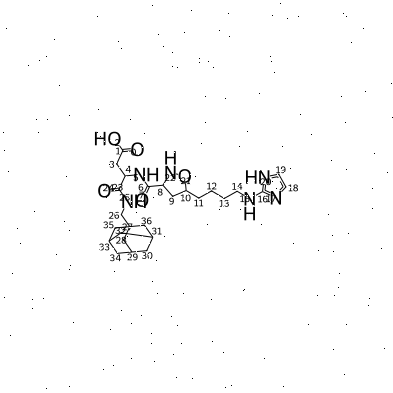 O=C(O)CC(NC(=O)C1CC(CCCCNc2ncc[nH]2)ON1)C(=O)NCC12CC3CC(CC(C3)C1)C2